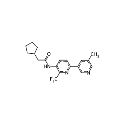 Cc1cncc(-c2ccc(NC(=O)CC3CCCC3)c(C(F)(F)F)n2)c1